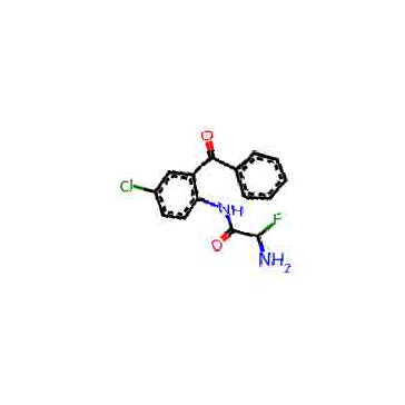 NC(F)C(=O)Nc1ccc(Cl)cc1C(=O)c1ccccc1